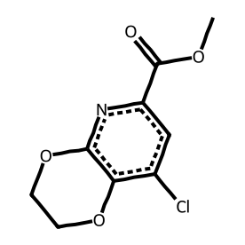 COC(=O)c1cc(Cl)c2c(n1)OCCO2